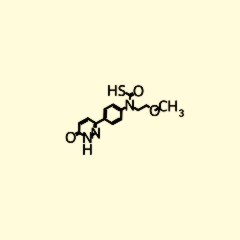 COCCN(C(=O)S)c1ccc(-c2ccc(=O)[nH]n2)cc1